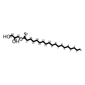 CCCCCCCCCCCCCCCCCCC(=S)OCC(O)CO